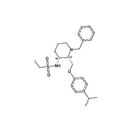 CCS(=O)(=O)N[C@@H]1CCCN(Cc2ccccc2)[C@@H]1COc1ccc(C(C)C)cc1